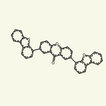 O=c1c2cc(-c3cccc4c3oc3ccccc34)ccc2oc2ccc(-c3cccc4c3sc3ccccc34)cc12